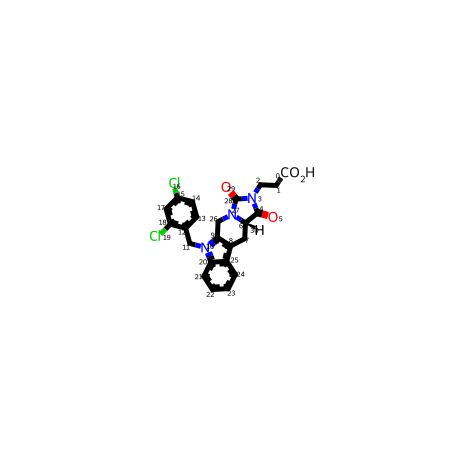 O=C(O)CCN1C(=O)[C@@H]2Cc3c(n(Cc4ccc(Cl)cc4Cl)c4ccccc34)CN2C1=O